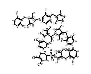 Cc1n[nH]c(C)c1Cc1c(F)cccc1Cl.Cc1nn(C(=O)c2c(-c3c(Cl)cccc3Cl)noc2C)c(C)c1Cc1c(F)cccc1Cl.Cc1nn(C)c(C)c1Cc1c(F)cccc1Cl.Cc1nn(S(=O)(=O)c2ccc(Cl)c(Cl)c2)c(C)c1Cc1c(F)cccc1Cl